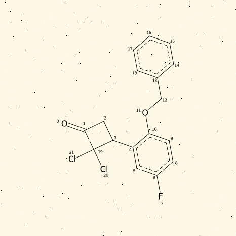 O=C1CC(c2cc(F)ccc2OCc2ccccc2)C1(Cl)Cl